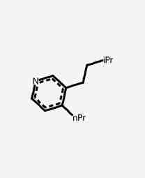 CCCc1ccncc1CCC(C)C